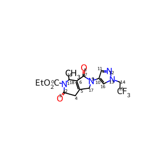 CCOC(=O)N1C(=O)CC2=C(C(=O)N(c3cnn(CC(F)(F)F)c3)C2)C1C